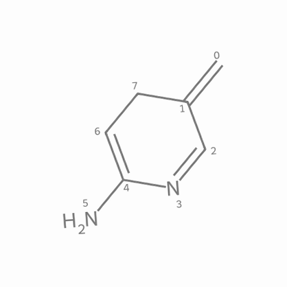 C=C1C=NC(N)=CC1